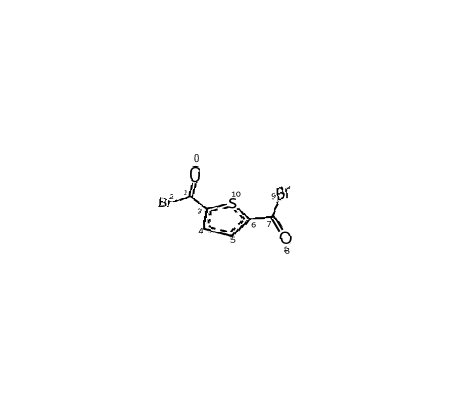 O=C(Br)c1ccc(C(=O)Br)s1